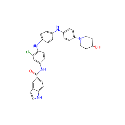 O=C(Nc1ccc(Nc2ccc(Nc3ccc(N4CCC(O)CC4)cc3)cc2)c(Cl)c1)c1ccc2[nH]ccc2c1